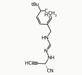 C#C[C@@H](C#N)N/N=C/NCC(/C=C\C(C)C(C)(C)C)=C/C